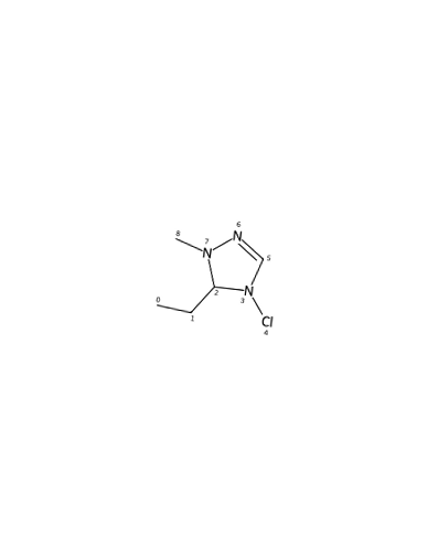 CCC1N(Cl)C=NN1C